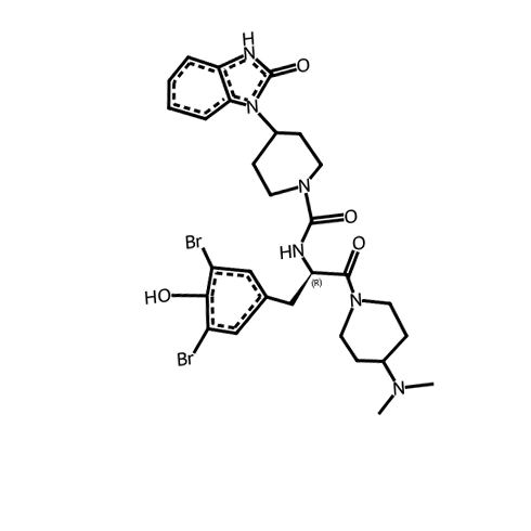 CN(C)C1CCN(C(=O)[C@@H](Cc2cc(Br)c(O)c(Br)c2)NC(=O)N2CCC(n3c(=O)[nH]c4ccccc43)CC2)CC1